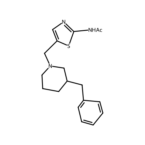 CC(=O)Nc1ncc(CN2CCCC(Cc3ccccc3)C2)s1